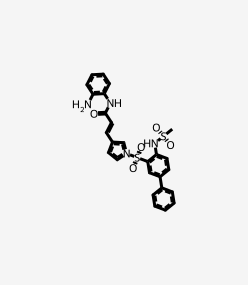 CS(=O)(=O)Nc1ccc(-c2ccccc2)cc1S(=O)(=O)n1ccc(C=CC(=O)Nc2ccccc2N)c1